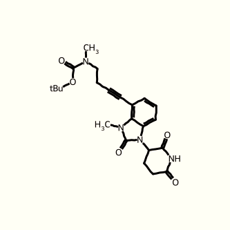 CN(CCC#Cc1cccc2c1n(C)c(=O)n2C1CCC(=O)NC1=O)C(=O)OC(C)(C)C